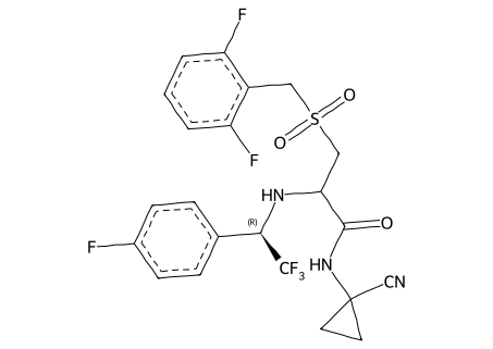 N#CC1(NC(=O)C(CS(=O)(=O)Cc2c(F)cccc2F)N[C@H](c2ccc(F)cc2)C(F)(F)F)CC1